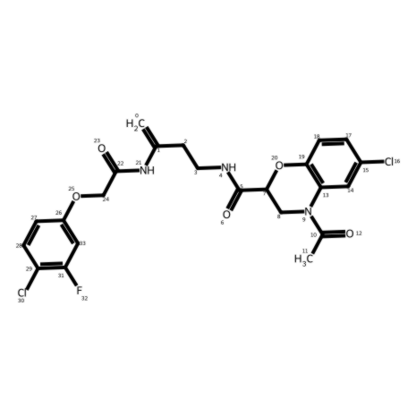 C=C(CCNC(=O)C1CN(C(C)=O)c2cc(Cl)ccc2O1)NC(=O)COc1ccc(Cl)c(F)c1